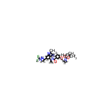 Cc1ccc2c(C3(NC(=O)c4cc(OC[C@@H]5CCN5C(=O)OC(C)(C)C)ccc4C)CC3)cc(-c3ccn(C(F)F)n3)cc2n1